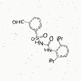 CC(C)c1cccc(C(C)C)c1NC(=O)NS(=O)(=O)c1cccc(C=O)c1